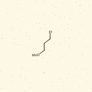 [CH2]CCCCO[CH2]